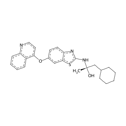 C[C@](O)(CC1CCCCC1)Nc1nc2ccc(Oc3ccnc4ccccc34)cc2s1